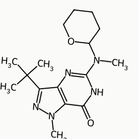 CN(c1nc2c(C(C)(C)C)nn(C)c2c(=O)[nH]1)C1CCCCO1